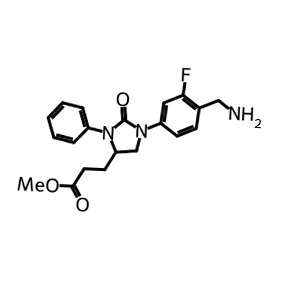 COC(=O)CCC1CN(c2ccc(CN)c(F)c2)C(=O)N1c1ccccc1